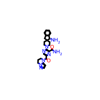 NC(=O)c1nc(C(=O)N2CCCn3nccc32)cnc1N1CCC2(CC1)Cc1ccccc1[C@H]2N